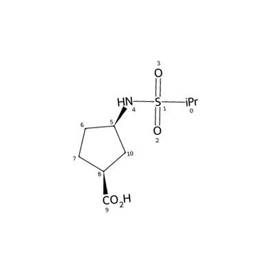 CC(C)S(=O)(=O)N[C@@H]1CC[C@H](C(=O)O)C1